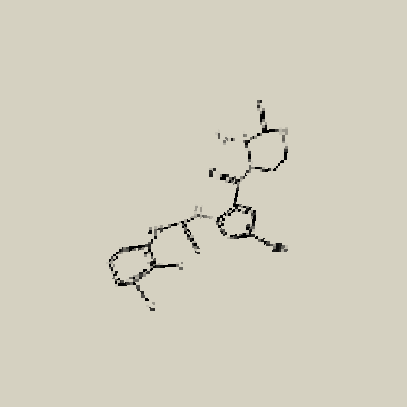 C[C@@H]1C(=O)NCCN1C(=O)c1cc(C(C)(C)C)sc1NC(=O)Nc1cccc(Cl)c1Cl